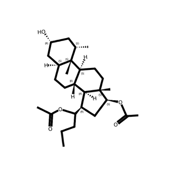 CCCC(OC(C)=O)[C@@H]1C[C@H](OC(C)=O)[C@@]2(C)CC[C@H]3[C@@H](CC[C@H]4C[C@H](O)C[C@H](C)[C@@]43C)[C@H]12